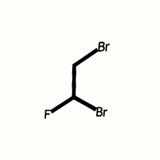 FC(Br)CBr